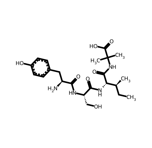 CC[C@H](C)[C@H](NC(=O)[C@H](CO)NC(=O)[C@@H](N)Cc1ccc(O)cc1)C(=O)NC(C)(C)C(=O)O